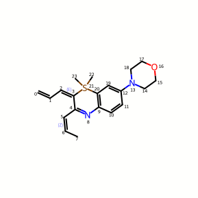 C=C/C=C1\C(/C=C\C)=Nc2ccc(N3CCOCC3)cc2S1(C)C